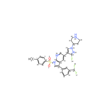 Cc1ccc(S(=O)(=O)n2cc(-c3cccc(C(F)F)c3)c3cc(-c4cn(C5CCNCC5)nc4F)cnc32)cc1